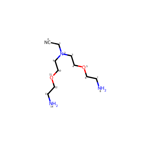 N#CCN(CCOCCN)CCOCCN